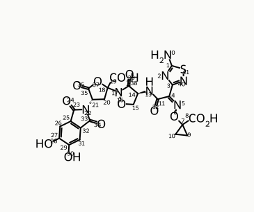 Nc1nc(/C(=N/OC2(C(=O)O)CC2)C(=O)N[C@H]2CON(C3(C(=O)O)C[C@H](N4C(=O)c5cc(O)c(O)cc5C4=O)C(=O)O3)C2=O)ns1